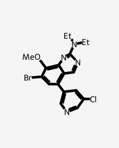 CCN(CC)c1ncc2c(-c3cncc(Cl)c3)cc(Br)c(OC)c2n1